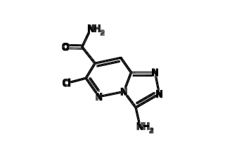 NC(=O)c1cc2nnc(N)n2nc1Cl